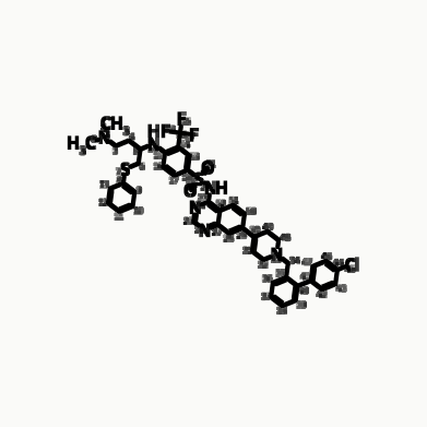 CN(C)CCC(CSc1ccccc1)Nc1ccc(S(=O)(=O)Nc2ncnc3cc(C4=CCN(Cc5ccccc5-c5ccc(Cl)cc5)CC4)ccc23)cc1C(F)(F)F